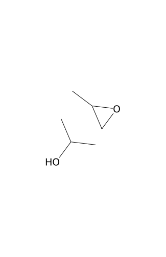 CC(C)O.CC1CO1